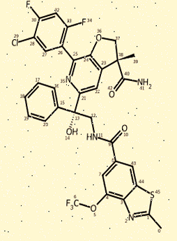 Cc1nc2c(OC(F)(F)F)cc(C(=O)NC[C@@](O)(c3ccccc3)c3cc4c(c(-c5cc(Cl)c(F)cc5F)n3)OC[C@]4(C)C(N)=O)cc2s1